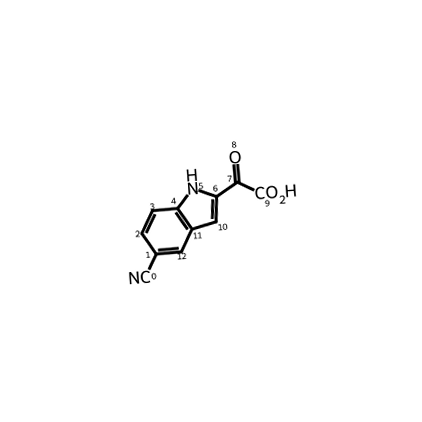 N#Cc1ccc2[nH]c(C(=O)C(=O)O)cc2c1